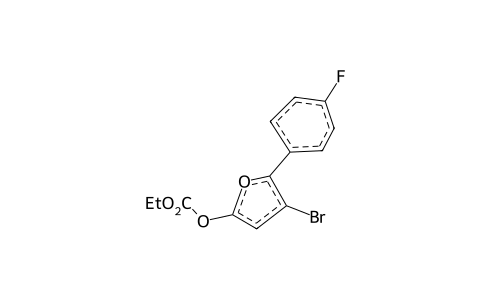 CCOC(=O)Oc1cc(Br)c(-c2ccc(F)cc2)o1